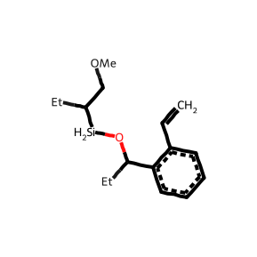 C=Cc1ccccc1C(CC)O[SiH2]C(CC)COC